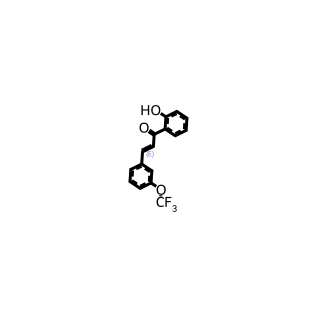 O=C(/C=C/c1cccc(OC(F)(F)F)c1)c1ccccc1O